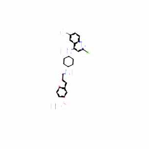 COc1ccc2oc(C(=O)N[C@H]3CC[C@@H](Nc4cc(C(F)(F)F)nc5ccc(Cl)cc45)CC3)cc2c1